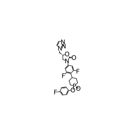 O=C1O[C@H](Cn2ccnn2)CN1c1cc(F)c(C2CCP(=O)(Oc3ccc(F)cc3)CC2)c(F)c1